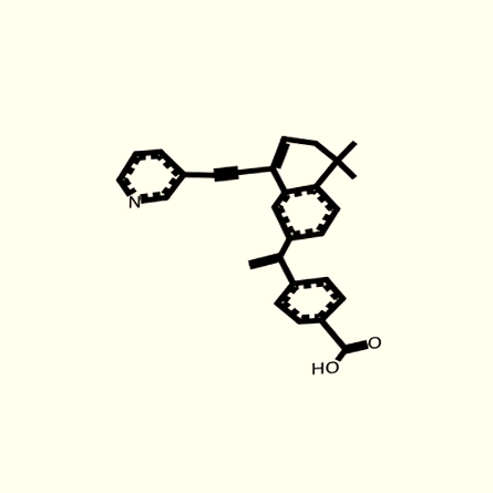 C=C(c1ccc(C(=O)O)cc1)c1ccc2c(c1)C(C#Cc1cccnc1)=CCC2(C)C